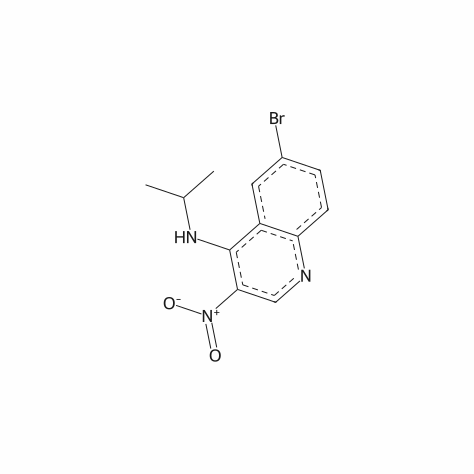 CC(C)Nc1c([N+](=O)[O-])cnc2ccc(Br)cc12